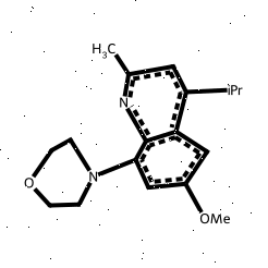 COc1cc(N2CCOCC2)c2nc(C)cc(C(C)C)c2c1